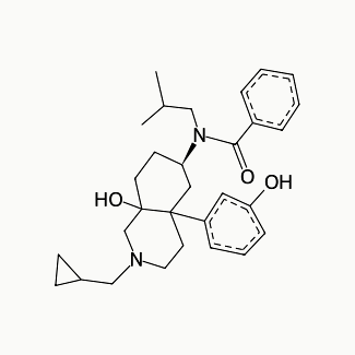 CC(C)CN(C(=O)c1ccccc1)[C@@H]1CCC2(O)CN(CC3CC3)CCC2(c2cccc(O)c2)C1